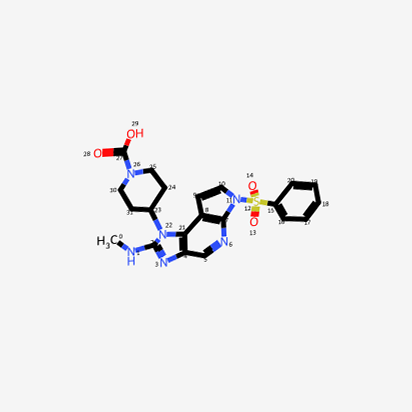 CNc1nc2cnc3c(ccn3S(=O)(=O)c3ccccc3)c2n1C1CCN(C(=O)O)CC1